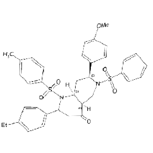 CCc1ccc(C2CC(=O)[C@@H]3CN(S(=O)(=O)c4ccccc4)[C@H](c4ccc(OC)cc4)C[C@@H]3N2S(=O)(=O)c2ccc(C)cc2)cc1